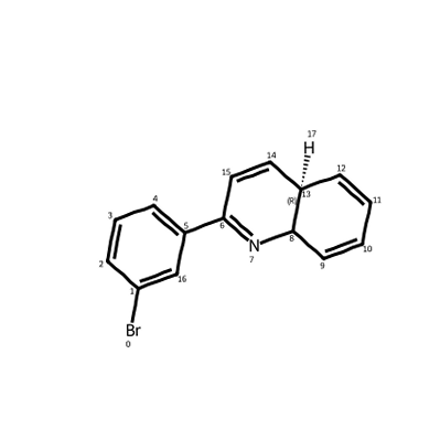 Brc1cccc(C2=NC3C=CC=C[C@@H]3C=C2)c1